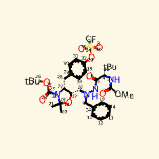 COC(=O)N[C@H](C(=O)NN(Cc1ccccc1)C[C@@H]1OC(C)(C)N(C(=O)OC(C)(C)C)[C@@H]1Cc1ccc(OS(=O)(=O)C(F)(F)F)cc1)C(C)(C)C